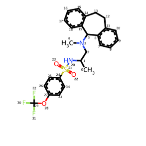 CC(CN(C)C1c2ccccc2CCc2ccccc21)NS(=O)(=O)c1ccc(OC(F)(F)F)cc1